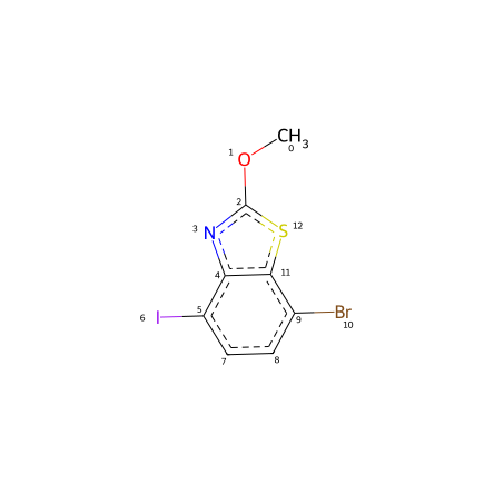 COc1nc2c(I)ccc(Br)c2s1